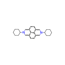 C1=c2ccc3c4c(ccc(c24)=CN1C1CCCCC1)=CN(C1CCCCC1)C=3